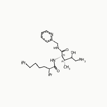 CC(C)CCCCC(C(=O)N[C@H](C(=O)NCc1ccccn1)[C@@H](C)C(O)CN)C(C)C